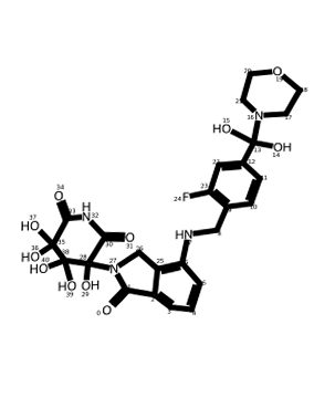 O=C1c2cccc(NCc3ccc(C(O)(O)N4CCOCC4)cc3F)c2CN1C1(O)C(=O)NC(=O)C(O)(O)C1(O)O